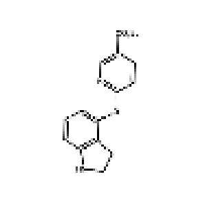 CCOC(=O)c1ccc(Oc2cccc3c2CCN3)nc1